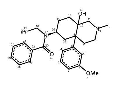 COc1cccc(C23CCN(C)CC2(O)CC[C@H](N(CC(C)C)C(=O)c2ccccc2)C3)c1